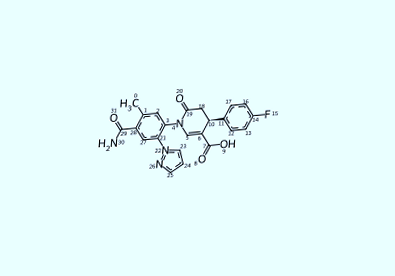 Cc1cc(N2C=C(C(=O)O)[C@H](c3ccc(F)cc3)CC2=O)c(-n2cccn2)cc1C(N)=O